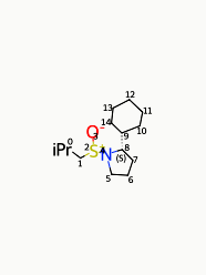 CC(C)C[S+]([O-])N1CCC[C@H]1C1CCCCC1